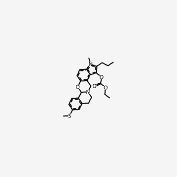 CCCc1c(OC(=O)OCC)c2c3c(ccc2n1C)OC1c2ccc(SC)cc2CCN1C3